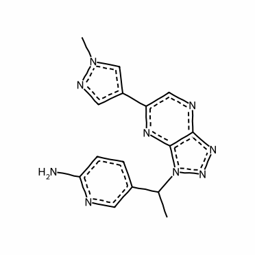 CC(c1ccc(N)nc1)n1nnc2ncc(-c3cnn(C)c3)nc21